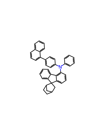 c1ccc(N(c2ccc(-c3cccc4ccccc34)cc2)c2cccc3c2-c2ccccc2C32CC3CCC2C3)cc1